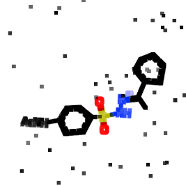 CC(=O)Nc1ccc(S(=O)(=O)N/N=C(\C)c2ccccc2)cc1